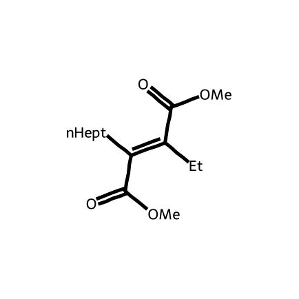 CCCCCCCC(C(=O)OC)=C(CC)C(=O)OC